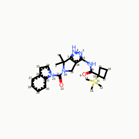 CC1(C)c2[nH]nc(NC(=O)C3(S(C)(C)C)CCC3)c2CN1C(=O)n1ccc2ccccc21